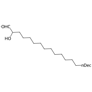 CCCCCCCCCCCCCCCCCCCCCCC(O)[C]=O